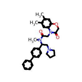 Cc1cc2c(cc1C)N(CC(=O)N(C)C(CN1CCCC1)c1ccc(-c3ccccc3)cc1)C(=O)CO2